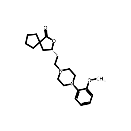 COc1ccccc1N1CCN(CC[C@@H]2CC3(CCCC3)C(=O)O2)CC1